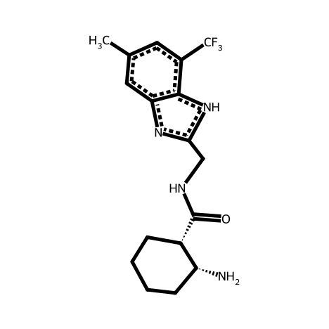 Cc1cc(C(F)(F)F)c2[nH]c(CNC(=O)[C@H]3CCCC[C@H]3N)nc2c1